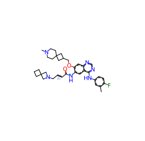 Cc1cc(Nc2ncnc3cc(OCC4CC5(CCN(C)CC5)C4)c(NC(=O)/C=C/CN4CC5(CCC5)C4)cc23)ccc1F